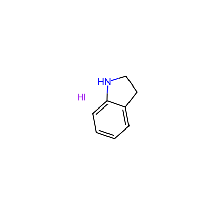 I.c1ccc2c(c1)CCN2